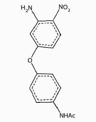 CC(=O)Nc1ccc(Oc2ccc([N+](=O)[O-])c(N)c2)cc1